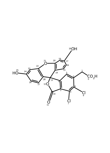 O=C(O)Cc1cc2c(c(Cl)c1Cl)C(=O)OC21c2ccc(O)cc2Oc2cc(O)ccc21